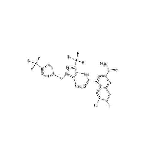 Cc1c(NC(=O)c2cc(C(N)=O)nc3cc(F)c(Cl)cc23)c(C(F)(F)F)nn1Cc1ccc(C(F)(F)F)cc1